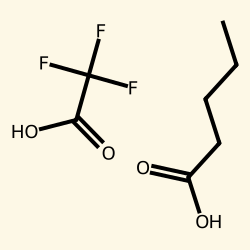 CCCCC(=O)O.O=C(O)C(F)(F)F